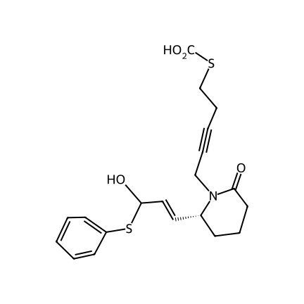 O=C(O)SCCC#CCN1C(=O)CCC[C@@H]1/C=C/C(O)Sc1ccccc1